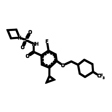 O=C(NS(=O)(=O)N1CCC1)c1cc(C2CC2)c(OCC2CCC(C(F)(F)F)CC2)cc1F